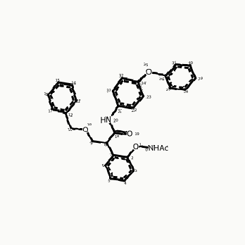 CC(=O)NOc1ccccc1C(COCc1ccccc1)C(=O)Nc1ccc(Oc2ccccc2)cc1